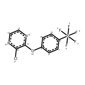 FS(F)(F)(F)(F)c1ccc(Oc2nccnc2Cl)cc1